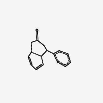 O=C1CC2C=CC=CC2C(c2ccccc2)C1